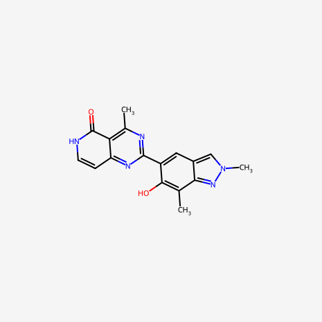 Cc1c(O)c(-c2nc(C)c3c(=O)[nH]ccc3n2)cc2cn(C)nc12